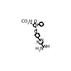 N=C(N)c1cnc(-c2ccc(OC[C@@H]3C[C@@H](CC(=O)O)C(=O)N3c3ccccc3)cc2)nc1